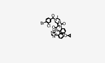 C[C@H]1Cn2c(c(C(=O)NCc3ccccc3-n3cncn3)n(-c3ccc(OC4CC4)cc3)c2=O)CN1C(=O)c1ccc(Br)c(Cl)c1